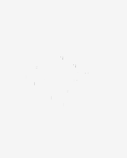 CCOC(=O)n1ccnc1-c1cc(C(F)(F)F)cc(C(F)(F)F)c1